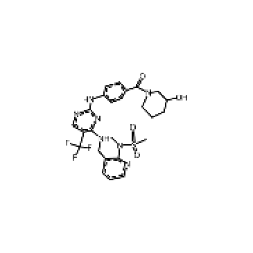 CN(c1ncccc1CNc1nc(Nc2ccc(C(=O)N3CCCC(O)C3)cc2)ncc1C(F)(F)F)S(C)(=O)=O